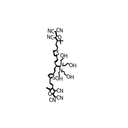 C=c1oc(=C(C#N)C#N)c(C#N)c1/C=C/c1ccc(/C=C/C(/C=C/c2ccc(/C=C/C3=C(C#N)C(=C(C#N)C#N)OC3(C)C)s2)=C(N(CCO)CCO)N(CCO)CCO)s1